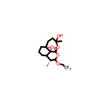 C[C@H]1C(OCC(F)(F)F)O[C@@H]2OC(C)(O)CCC3CCCC1[C@]32O